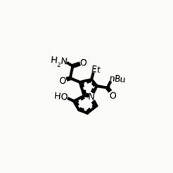 CCCCC(=O)c1c(CC)c(C(=O)C(N)=O)c2c(O)cccn12